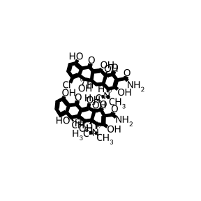 CN(C)[C@@H]1C(O)=C(C(N)=O)C(=O)[C@@]2(O)C(O)=C3C(=O)c4c(O)ccc(Cl)c4[C@@H](O)[C@H]3C[C@@H]12.CN(C)[C@@H]1C(O)=C(C(N)=O)C(=O)[C@@]2(O)C(O)=C3C(=O)c4c(O)cccc4[C@@](C)(O)[C@H]3[C@H](O)[C@@H]12